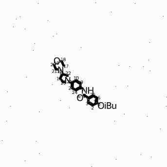 CC(C)COc1ccc(C(=O)Nc2ccc(N3CCC(N4CCOCC4)C3)cc2)cc1